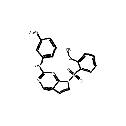 CC(=O)Nc1cccc(Nc2ncc3ccn(S(=O)(=O)c4ccccc4OC(F)(F)F)c3n2)c1